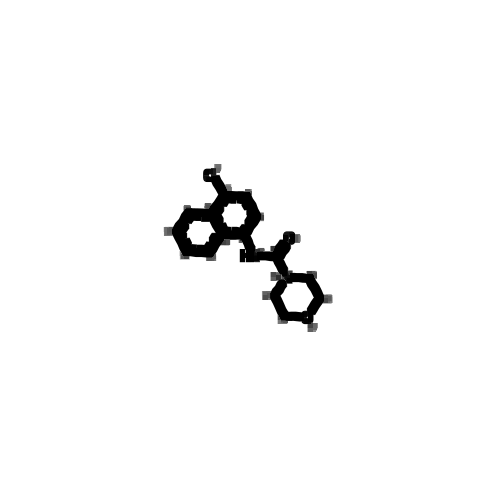 O=C(Nc1ccc(Cl)c2ccccc12)N1CCOCC1